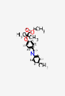 CCOC(=O)C(C)(C)Oc1ccc(C=Nc2ccc(C)cc2)cc1